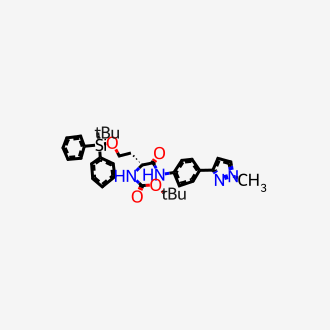 Cn1ccc(-c2ccc(NC(=O)[C@@H](CCO[Si](c3ccccc3)(c3ccccc3)C(C)(C)C)NC(=O)OC(C)(C)C)cc2)n1